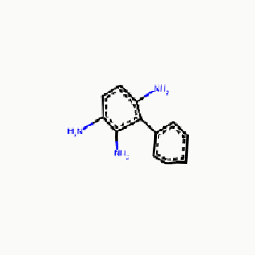 Nc1ccc(N)c(-c2ccccc2)c1N